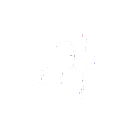 CC1=C(C#N)C(c2ccc(F)cc2Cl)C(CC(C)(C)C)(C(=O)O)C(C)N1